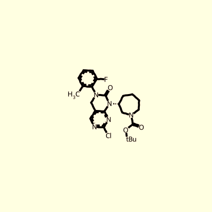 Cc1cccc(F)c1N1Cc2cnc(Cl)nc2N([C@@H]2CCCCN(C(=O)OC(C)(C)C)C2)C1=O